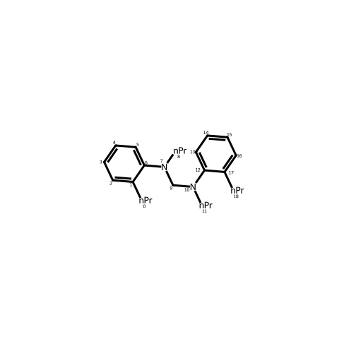 CCCc1ccccc1N(CCC)CN(CCC)c1ccccc1CCC